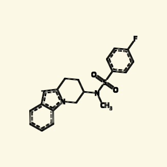 CN(C1CCc2[c]c3ccccc3n2C1)S(=O)(=O)c1ccc(F)cc1